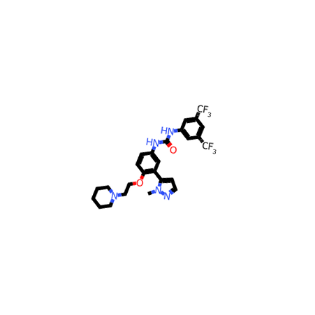 Cn1nccc1-c1cc(NC(=O)Nc2cc(C(F)(F)F)cc(C(F)(F)F)c2)ccc1OCCN1CCCCC1